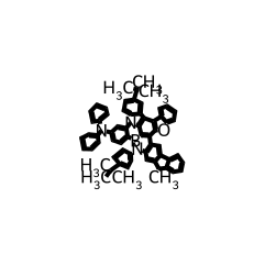 CC1c2ccccc2-c2cc3c(cc21)N(c1ccc(C(C)(C)C)cc1)B1c2ccc(N(c4ccccc4)c4ccccc4)cc2-n2c4ccc(C(C)(C)C)cc4c4c5c(oc6ccccc65)c-3c1c42